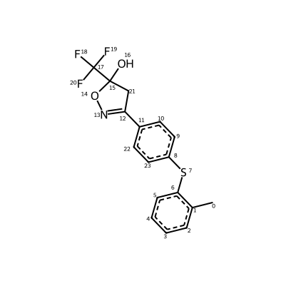 Cc1ccccc1Sc1ccc(C2=NOC(O)(C(F)(F)F)C2)cc1